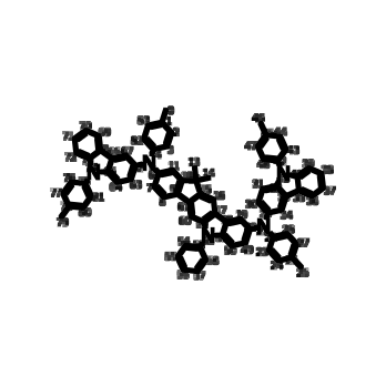 Cc1ccc(N(c2ccc3c(c2)C(C)(C)c2cc4c5cc(N(c6ccc(C)cc6)c6ccc7c(c6)c6ccccc6n7-c6ccc(C)cc6)ccc5n(-c5ccccc5)c4cc2-3)c2ccc3c(c2)c2ccccc2n3-c2ccc(C)cc2)cc1